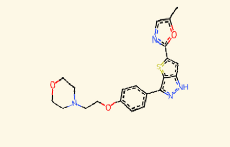 Cc1cnc(-c2cc3[nH]nc(-c4ccc(OCCN5CCOCC5)cc4)c3s2)o1